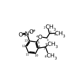 CC(C)COc1c(C(C)C)cccc1[N+](=O)[O-]